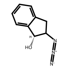 [N-]=[N+]=NC1Cc2ccccc2[C@H]1O